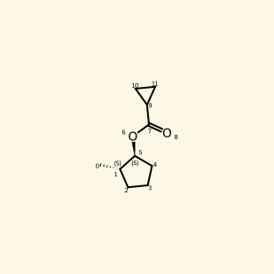 C[C@H]1CCC[C@@H]1OC(=O)C1CC1